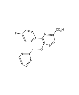 O=C(O)c1cnc(OCc2ncccn2)c(-c2ccc(F)cc2)n1